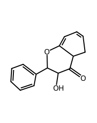 O=C1C2CC=CC=C2OC(c2ccccc2)C1O